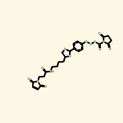 O=C(CCN1C(=O)C=CC1=O)NCCCCC1COC(c2ccc(OOOC(=O)N3C(=O)CCC3=O)cc2)O1